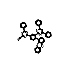 N#Cc1nc(-c2ccccc2)nc(-c2ccc(-c3cccc4c3Oc3ccccc3O4)c(-c3nc(-c4ccccc4)cc(-c4ccccc4)n3)c2)n1